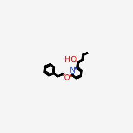 CCC[C@@H](O)c1cccc(OCCc2ccccc2)n1